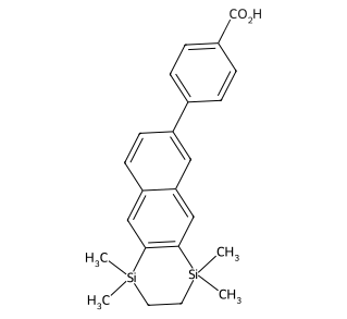 C[Si]1(C)CC[Si](C)(C)c2cc3cc(-c4ccc(C(=O)O)cc4)ccc3cc21